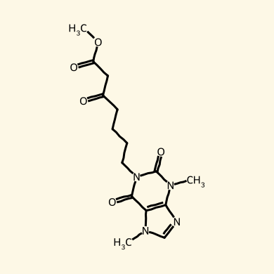 COC(=O)CC(=O)CCCCn1c(=O)c2c(ncn2C)n(C)c1=O